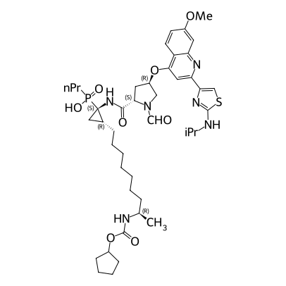 CCCP(=O)(O)[C@@]1(NC(=O)[C@@H]2C[C@@H](Oc3cc(-c4csc(NC(C)C)n4)nc4cc(OC)ccc34)CN2C=O)C[C@H]1CCCCCCC[C@@H](C)NC(=O)OC1CCCC1